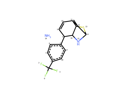 FC(F)(F)c1ccc(C2C=CC3=C4SC3NC42)cc1.N